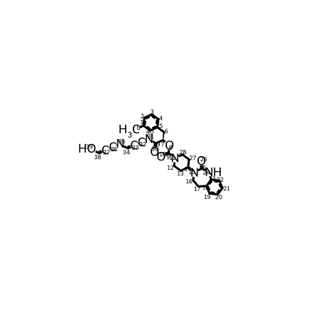 Cc1cccc(C[C@@H](OC(=O)N2CCC(N3CCc4ccccc4NC3=O)CC2)C(=O)N=C=C=CN=C=C=CO)c1